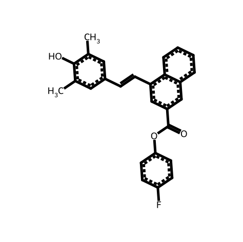 Cc1cc(/C=C/c2cc(C(=O)Oc3ccc(F)cc3)cc3ccccc23)cc(C)c1O